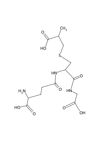 CC(CSCC(NC(=O)CCC(N)C(=O)O)C(=O)NCC(=O)O)C(=O)O